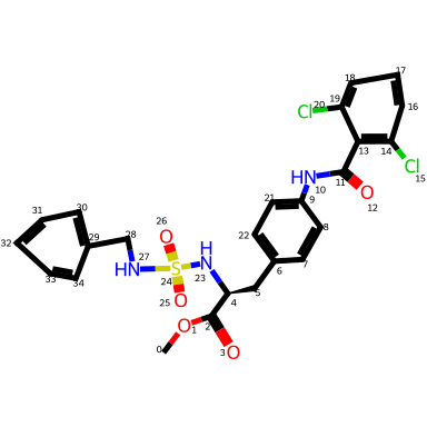 COC(=O)[C@H](Cc1ccc(NC(=O)c2c(Cl)cccc2Cl)cc1)NS(=O)(=O)NCc1ccccc1